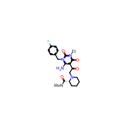 CCn1c(=O)c(C(=O)CN2CCCC[C@@H]2C(=O)NC)c(N)n(Cc2ccc(F)cc2)c1=O